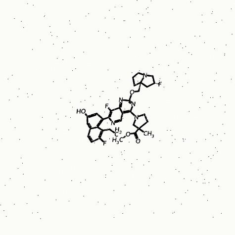 CCc1c(F)ccc2cc(O)cc(-c3ncc4c(N5CCC(C)(C(=O)OC)C5)nc(OC[C@@]56CCCN5C[C@H](F)C6)nc4c3F)c12